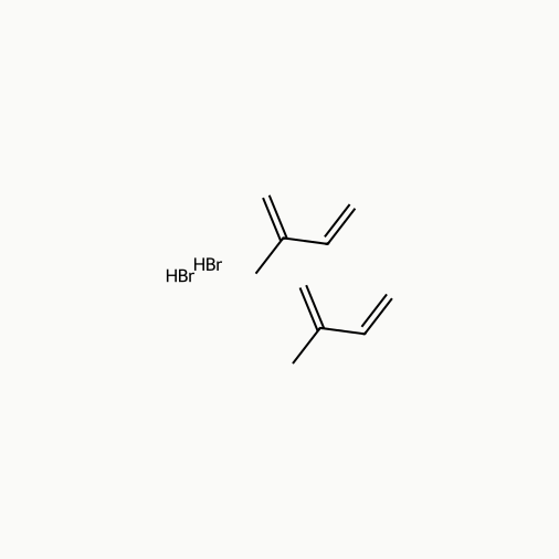 Br.Br.C=CC(=C)C.C=CC(=C)C